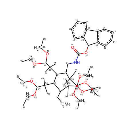 COCC(C(C(C(CNC(=O)OC1c2ccccc2-c2ccccc21)C(C)(C)C(O[SiH2]C)O[SiH2]C)C(C)(C)C(O[SiH2]C)O[SiH2]C)C(C)(C)C(O[SiH2]C)O[SiH2]C)C(C)(C)C(O[SiH2]C)O[SiH2]C